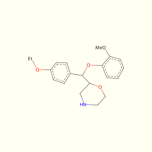 CCOc1ccc(C(Oc2ccccc2OC)C2CNCCO2)cc1